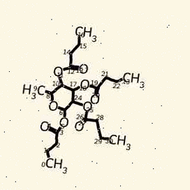 CCCC(=O)OC1OC(C)C(OC(=O)CCC)C(OC(=O)CCC)C1OC(=O)CCC